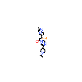 Cc1cn2cc(C3=CC(=O)N4C=C(C5CCN(C(C)C)CC5)N=CC4P3)ccc2n1